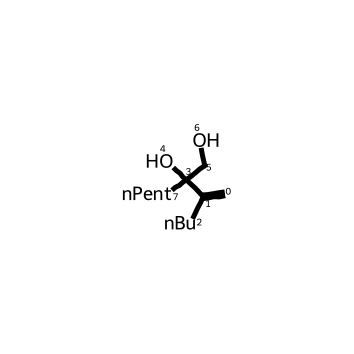 C=C(CCCC)C(O)(CO)CCCCC